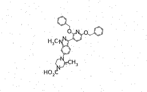 C[C@H]1CN(C(=O)O)CCN1c1ccc2c(-c3ccc(OCc4ccccc4)nc3OCc3ccccc3)nn(C)c2c1